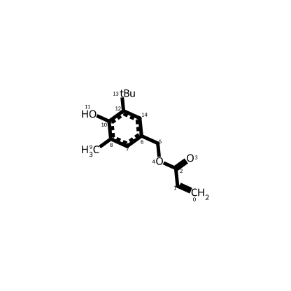 C=CC(=O)OCc1cc(C)c(O)c(C(C)(C)C)c1